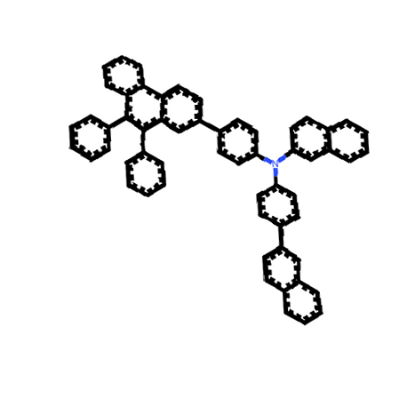 c1ccc(-c2c(-c3ccccc3)c3cc(-c4ccc(N(c5ccc(-c6ccc7ccccc7c6)cc5)c5ccc6ccccc6c5)cc4)ccc3c3ccccc23)cc1